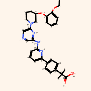 CCOc1ccccc1OC1CCCN(c2cncc(Nc3cccc(-c4ccc(C(C)(C)C(=O)O)cc4)n3)n2)C1